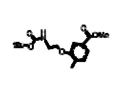 COC(=O)c1ccc(C)c(OCCNC(=O)OC(C)(C)C)c1